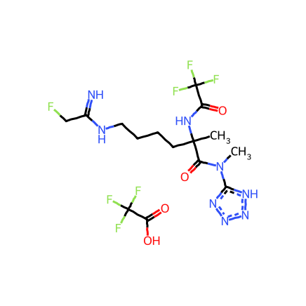 CN(C(=O)C(C)(CCCCNC(=N)CF)NC(=O)C(F)(F)F)c1nnn[nH]1.O=C(O)C(F)(F)F